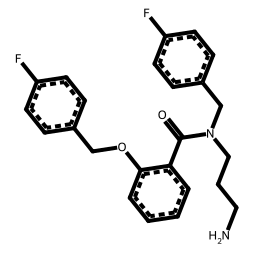 NCCCN(Cc1ccc(F)cc1)C(=O)c1ccccc1OCc1ccc(F)cc1